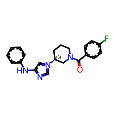 O=C(c1ccc(F)cc1)N1CCC[C@H](n2cnc(Nc3ccccc3)c2)C1